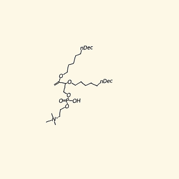 C=C(OCCCCCCCCCCCCCCC)C(COP(=O)(O)OCC[N+](C)(C)C)OCCCCCCCCCCCCCCC